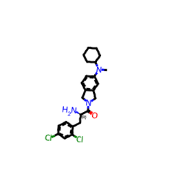 CN(c1ccc2c(c1)CN(C(=O)[C@H](N)Cc1ccc(Cl)cc1Cl)C2)C1CCCCC1